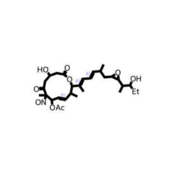 CCC(O)C(C)C1OC1CC(C)/C=C/C=C(\C)C1OC(=O)CC(O)CC(=O)C(C)(N=O)C(OC(C)=O)/C=C/C1C